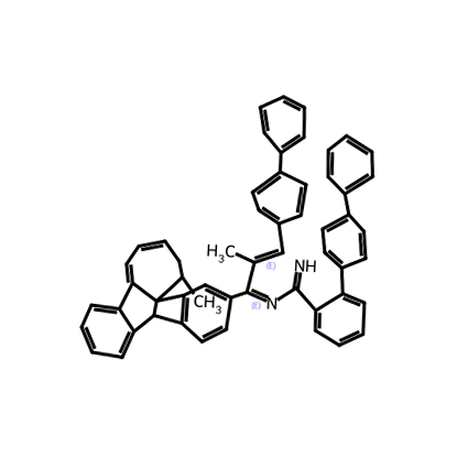 CC(=C\c1ccc(-c2ccccc2)cc1)/C(=N\C(=N)c1ccccc1-c1ccc(-c2ccccc2)cc1)c1ccc2c(c1)C13C(=CC=CCC1C)c1ccccc1C23